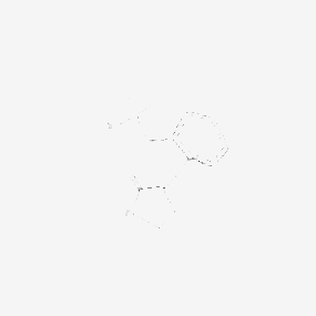 CC(C)(C)[Si](C)(C)Oc1ccccc1C1[CH]CNC1=O